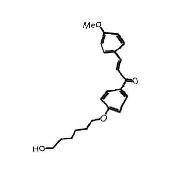 COc1ccc(/C=C/C(=O)c2ccc(OCCCCCCO)cc2)cc1